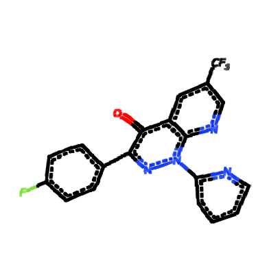 O=c1c(-c2ccc(F)cc2)nn(-c2ccccn2)c2ncc(C(F)(F)F)cc12